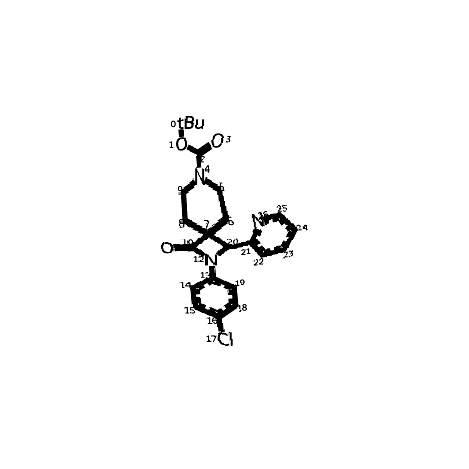 CC(C)(C)OC(=O)N1CCC2(CC1)C(=O)N(c1ccc(Cl)cc1)C2c1ccccn1